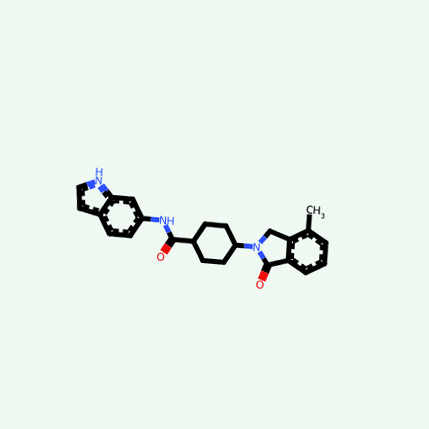 Cc1cccc2c1CN(C1CCC(C(=O)Nc3ccc4cc[nH]c4c3)CC1)C2=O